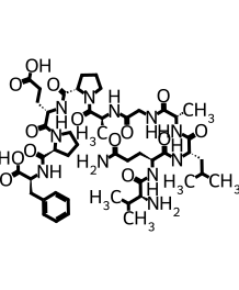 CC(C)C[C@H](NC(=O)[C@H](CCC(N)=O)NC(=O)[C@@H](N)C(C)C)C(=O)N[C@@H](C)C(=O)NCC(=O)N[C@@H](C)C(=O)N1CCC[C@H]1C(=O)N[C@@H](CCC(=O)O)C(=O)N1CCC[C@H]1C(=O)N[C@@H](Cc1ccccc1)C(=O)O